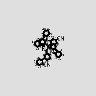 N#Cc1ccc(-c2nc(-c3ccccc3)nc(-c3cc(-c4ccccc4C#N)ccc3-n3c4ccccc4c4ccccc43)n2)c(-n2c3ccccc3c3ccccc32)c1